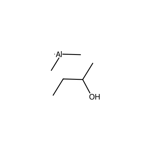 CCC(C)O.[CH3][Al][CH3]